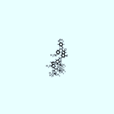 COc1ccc(CN(Cc2ccc(OC)cc2)c2nc3cc(OCC4=C[C@@H](n5ccc6c(C)nc(N(C(=O)OC(C)(C)C)C(=O)OC(C)(C)C)nc65)[C@@H]5OC(C)(C)O[C@H]45)cc(F)c3cc2Cl)cc1